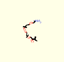 CC(C)C(=O)COC(C)(C)CCOC(C)(C)CCOCCN